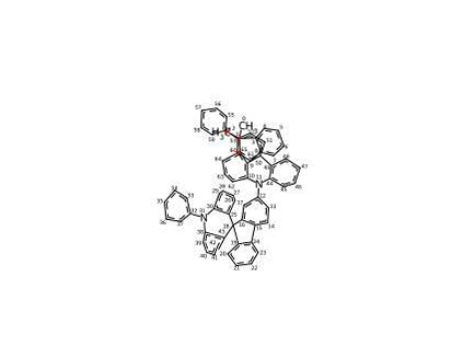 CC1(C)c2ccccc2-c2c(N(c3ccc4c(c3)C3(c5ccccc5-4)c4ccccc4N(c4ccccc4)c4ccccc43)c3ccccc3-c3ccc(-c4ccccc4)cc3)cccc21